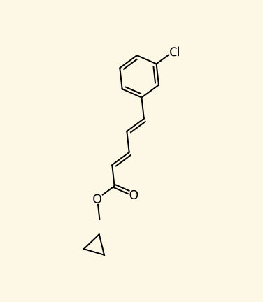 C1CC1.COC(=O)C=CC=Cc1cccc(Cl)c1